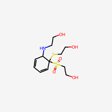 O=S(=O)(CCO)C1(SCCO)C=CC=CC1NCCO